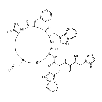 C=CCN1CC#CCN(NC(=O)[C@@H](Cc2c[nH]c3ccccc23)NC(=O)[C@@H](N)Cc2cnc[nH]2)C(=O)N[C@@H](Cc2c[nH]c3ccccc23)C(=O)N[C@H](Cc2ccccc2)C(=O)N[C@H](C(N)=O)CCCC1